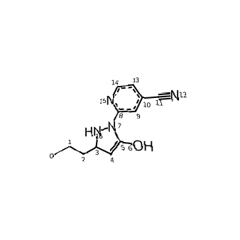 CCCC1C=C(O)N(c2cc(C#N)ccn2)N1